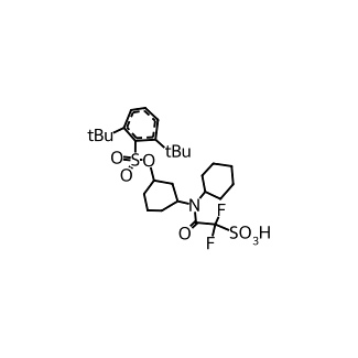 CC(C)(C)c1cccc(C(C)(C)C)c1S(=O)(=O)OC1CCCC(N(C(=O)C(F)(F)S(=O)(=O)O)C2CCCCC2)C1